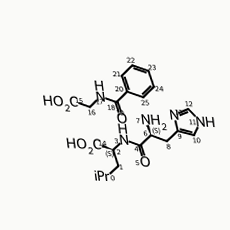 CC(C)C[C@H](NC(=O)[C@@H](N)Cc1c[nH]cn1)C(=O)O.O=C(O)CNC(=O)c1ccccc1